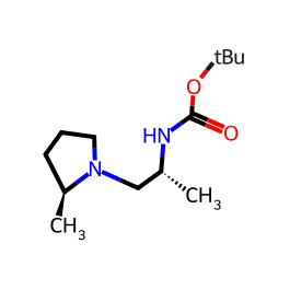 C[C@H](CN1CCC[C@@H]1C)NC(=O)OC(C)(C)C